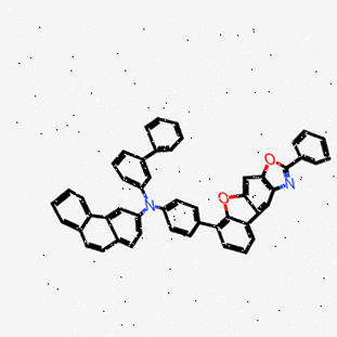 c1ccc(-c2cccc(N(c3ccc(-c4cccc5c4oc4cc6oc(-c7ccccc7)nc6cc45)cc3)c3ccc4ccc5ccccc5c4c3)c2)cc1